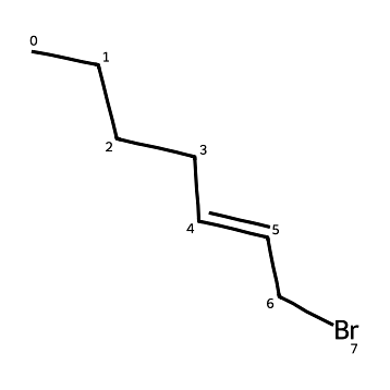 CCCCC=CCBr